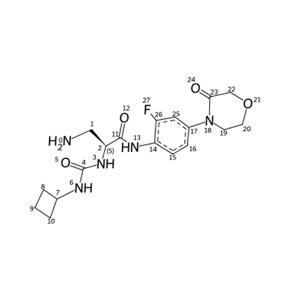 NC[C@H](NC(=O)NC1CCC1)C(=O)Nc1ccc(N2CCOCC2=O)cc1F